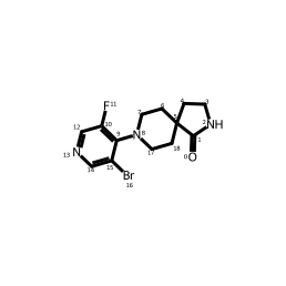 O=C1NCCC12CCN(c1c(F)cncc1Br)CC2